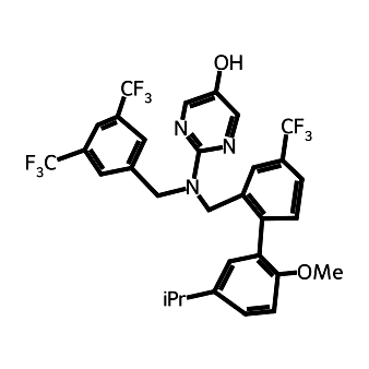 COc1ccc(C(C)C)cc1-c1ccc(C(F)(F)F)cc1CN(Cc1cc(C(F)(F)F)cc(C(F)(F)F)c1)c1ncc(O)cn1